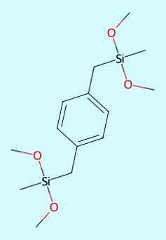 CO[Si](C)(Cc1ccc(C[Si](C)(OC)OC)cc1)OC